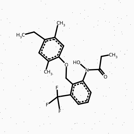 CCC(=O)N(O)c1cccc(C(F)(F)F)c1COc1cc(C)c(CC)cc1C